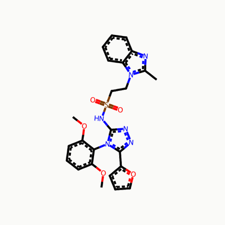 COc1cccc(OC)c1-n1c(NS(=O)(=O)CCn2c(C)nc3ccccc32)nnc1-c1ccco1